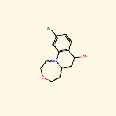 OC1CC2CCOCCN2c2cc(Br)ccc21